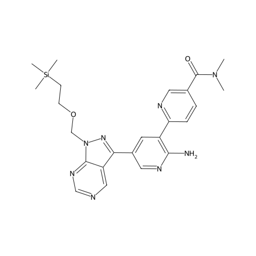 CN(C)C(=O)c1ccc(-c2cc(-c3nn(COCC[Si](C)(C)C)c4ncncc34)cnc2N)nc1